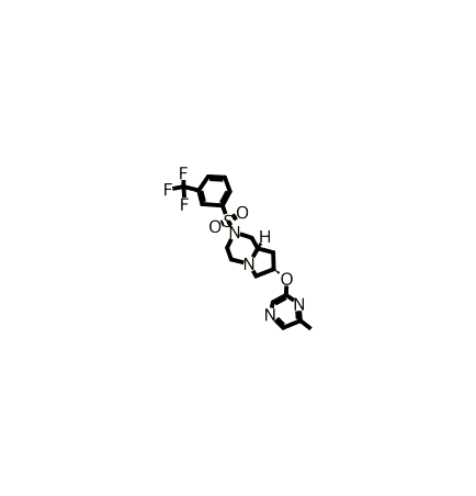 Cc1cncc(O[C@H]2C[C@H]3CN(S(=O)(=O)c4cccc(C(F)(F)F)c4)CCN3C2)n1